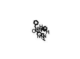 CCn1ncc2c(N[C@@H]3C[C@@H]4CC[C@@H]3C4)c(C(=O)NCc3ccccc3)cnc21